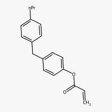 C=CC(=O)Oc1ccc(Cc2ccc(CCC)cc2)cc1